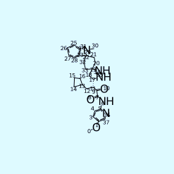 COc1ccc(NC(=O)C(=O)C(CC2CCC2)[C@@H]2CC3(CCC(c4ccccc4)(N(C)C)CC3)NN2)nc1